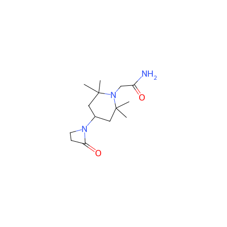 CC1(C)CC(N2CCC2=O)CC(C)(C)N1CC(N)=O